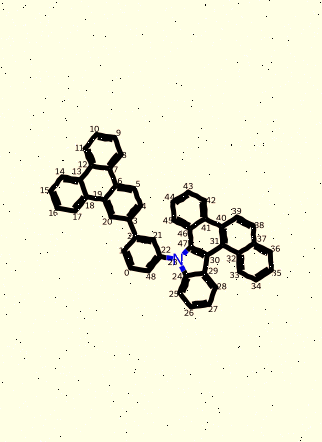 c1cc(-c2ccc3c4ccccc4c4ccccc4c3c2)cc(-n2c3ccccc3c3c4c5ccccc5ccc4c4ccccc4c32)c1